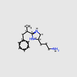 CC(Cc1ccccc1)C1=NCC(CCCN)N1